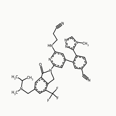 CC(C)N(C)Cc1cc2c(c(C(F)(F)F)c1)CN(c1cc(-c3cc(C#N)ccc3-c3nncn3C)cc(NCCC#N)n1)C2=O